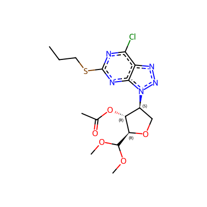 CCCSc1nc(Cl)c2nnn([C@H]3CO[C@@H](C(OC)OC)[C@@H]3OC(C)=O)c2n1